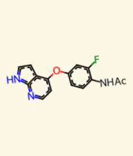 CC(=O)Nc1ccc(Oc2ccnc3[nH]ccc23)cc1F